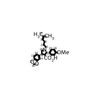 COc1ccc([C@@H]2[C@@H](C(=O)O)[C@@H](c3ccc4c(c3)OCO4)CN2CCCC=C(C)C)cc1